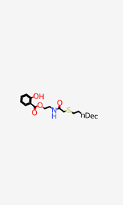 CCCCCCCCCCCCSCC(=O)NCCOC(=O)c1ccccc1O